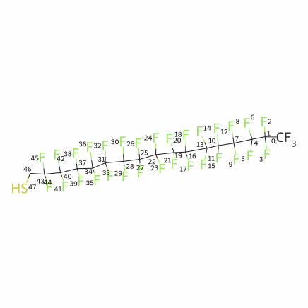 FC(F)(F)C(F)(F)C(F)(F)C(F)(F)C(F)(F)C(F)(F)C(F)(F)C(F)(F)C(F)(F)C(F)(F)C(F)(F)C(F)(F)C(F)(F)C(F)(F)C(F)(F)C(F)(F)CS